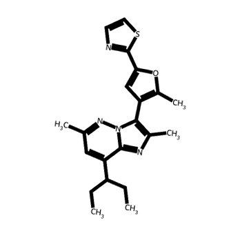 CCC(CC)c1cc(C)nn2c(-c3cc(-c4nccs4)oc3C)c(C)nc12